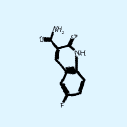 NC(=O)c1cc2cc(F)ccc2[nH]c1=O